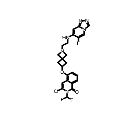 O=c1c2cccc(OC3CC4(C3)CN(CCNc3cc5nncn5cc3F)C4)c2cc(Cl)n1C(F)F